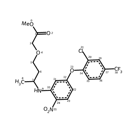 COC(=O)COCCC(C)Nc1cc(Oc2ccc(C(F)(F)F)cc2Cl)ccc1[N+](=O)[O-]